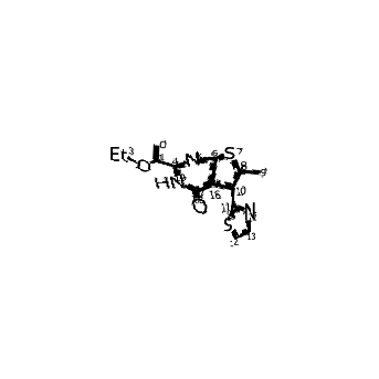 C=C(OCC)c1nc2sc(C)c(-c3nccs3)c2c(=O)[nH]1